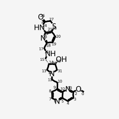 COc1ccc2nccc(CCN3C[C@H](CNCc4ccc5c(n4)NC(=O)CS5)[C@H](O)C3)c2n1